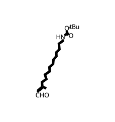 C/C(=C\C=O)CCCCCCCCCCCCNC(=O)OC(C)(C)C